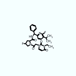 CCn1c(=O)ccn(CC(=O)N2CC(F)CC2C(=O)NC(c2ccccc2)c2ccc(C(C)C)c(F)n2)c1=O